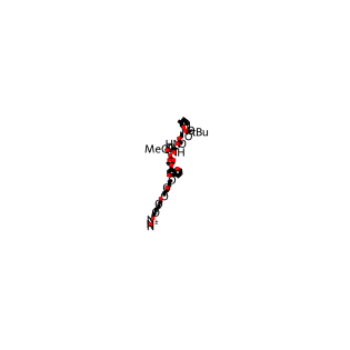 C=C(/C=C\C(=C/C)c1ccc(OCCOCCOCCOCCOCCN=[N+]=[N-])c2ccccc12)[C@H](CC(=O)OC)NC(=O)CNC(=O)CCCN(C(=O)OC(C)(C)C)c1cc(C)ccn1